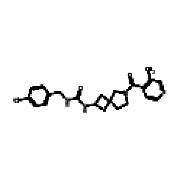 Cc1cnccc1C(=O)N1CC[C@]2(C1)C[C@H](NC(=O)NCc1ccc(Cl)cc1)C2